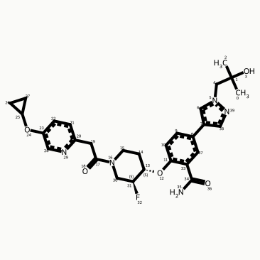 CC(C)(O)Cn1cc(-c2ccc(O[C@H]3CCN(C(=O)Cc4ccc(OC5CC5)cn4)C[C@@H]3F)c(C(N)=O)c2)cn1